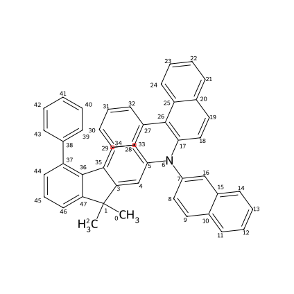 CC1(C)c2cc(N(c3ccc4ccccc4c3)c3ccc4ccccc4c3-c3ccccc3)ccc2-c2c(-c3ccccc3)cccc21